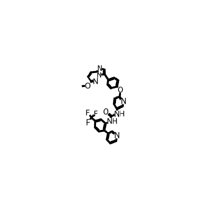 COc1ccc2ncc(-c3ccc(Oc4ccc(NC(=O)Nc5cc(C(F)(F)F)ccc5-c5cccnc5)cn4)cc3)n2n1